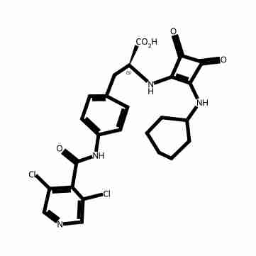 O=C(Nc1ccc(C[C@H](Nc2c(NC3CCCCC3)c(=O)c2=O)C(=O)O)cc1)c1c(Cl)cncc1Cl